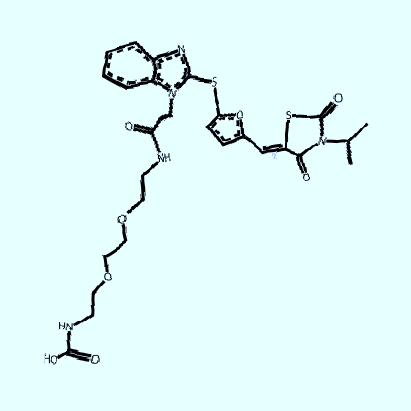 CC(C)N1C(=O)S/C(=C\c2ccc(Sc3nc4ccccc4n3CC(=O)NCCOCCOCCNC(=O)O)o2)C1=O